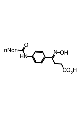 CCCCCCCCCC(=O)Nc1ccc(C(CCC(=O)O)=NO)cc1